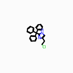 ClCCc1c[nH]c(C(c2ccccc2)(c2ccccc2)c2ccccc2)n1